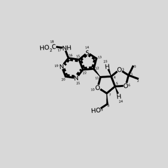 CC1(C)O[C@@H]2[C@H](O1)[C@@H](CO)O[C@H]2c1csc2c(NC(=O)O)ncnc12